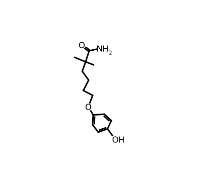 CC(C)(CCCCOc1ccc(O)cc1)C(N)=O